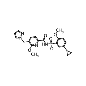 COc1ccc(C2CC2)cc1S(=O)(=O)NC(=O)c1ccc(Cn2cccn2)c(OC)n1